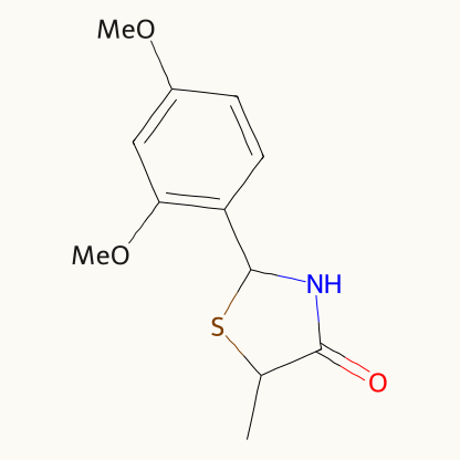 COc1ccc(C2NC(=O)C(C)S2)c(OC)c1